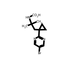 CC(C)(CC1(c2ncc(Br)cn2)CC1)NC(=O)O